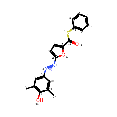 Cc1cc(/N=N/c2ccc(C(=O)Sc3ccccc3)o2)cc(C)c1O